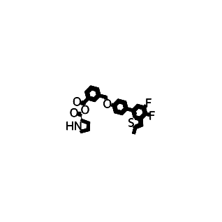 Cc1cc2c(F)c(F)cc(-c3ccc(OCc4cccc(C(=O)OC(=O)[C@@H]5CCCN5)c4)cc3)c2s1